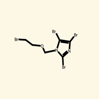 BrCCOCn1c(Br)nc(Br)c1Br